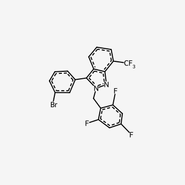 Fc1cc(F)c(Cn2nc3c(C(F)(F)F)cccc3c2-c2cccc(Br)c2)c(F)c1